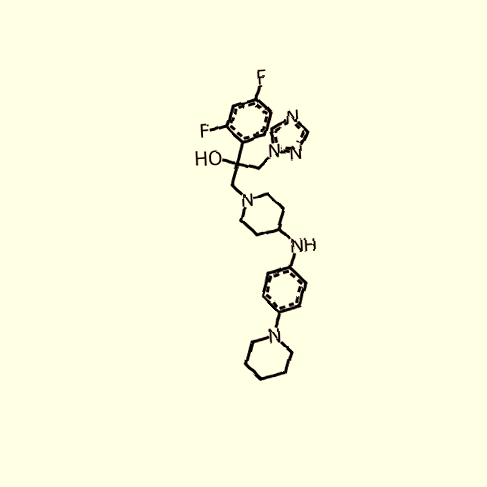 OC(CN1CCC(Nc2ccc(N3CCCCC3)cc2)CC1)(Cn1cncn1)c1ccc(F)cc1F